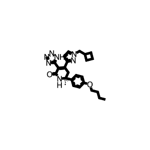 CCCCOc1ccc([C@]2(C)CC(c3ccn(CC4CCC4)n3)=C(c3nnn[nH]3)C(=O)N2)cc1